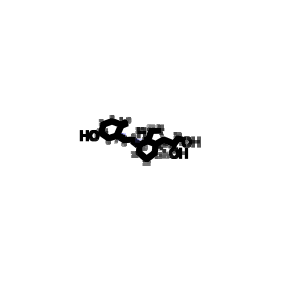 C=C1CC[C@H](O)C/C1=C/C=C1\CCC[C@]2(C)[C@@H]([C@H](O)CO)CC[C@@H]12